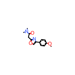 COc1ccc(-c2coc(CC(=O)N(C)C)n2)cc1